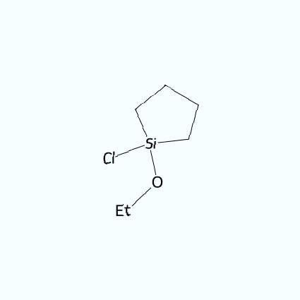 CCO[Si]1(Cl)CCCC1